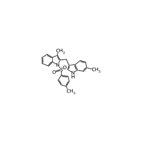 Cc1ccc(S(=O)(=O)n2c(Cc3c[nH]c4cc(C)ccc34)c(C)c3ccccc32)cc1